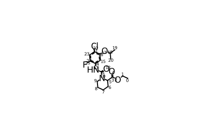 CCOC(=O)C1CCCCN1C(=O)Nc1cc(OC(C)C)c(Cl)cc1F